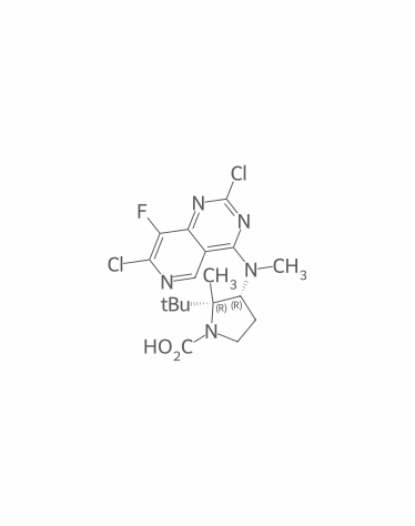 CN(c1nc(Cl)nc2c(F)c(Cl)ncc12)[C@@H]1CCN(C(=O)O)[C@]1(C)C(C)(C)C